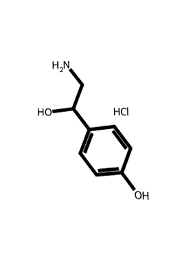 Cl.NCC(O)c1ccc(O)cc1